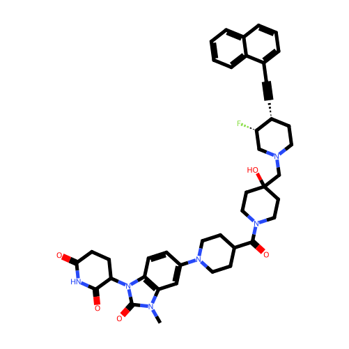 Cn1c(=O)n(C2CCC(=O)NC2=O)c2ccc(N3CCC(C(=O)N4CCC(O)(CN5CC[C@@H](C#Cc6cccc7ccccc67)[C@@H](F)C5)CC4)CC3)cc21